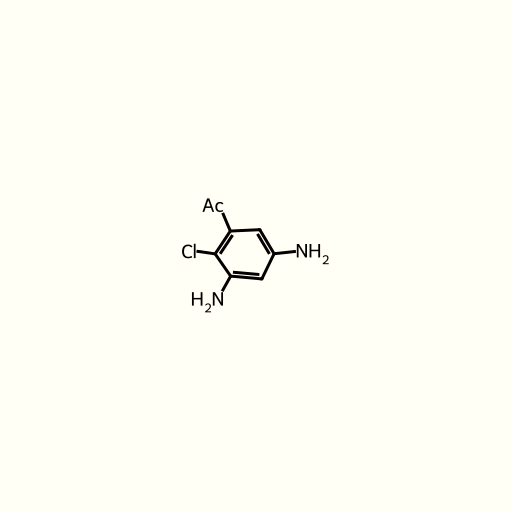 CC(=O)c1cc(N)cc(N)c1Cl